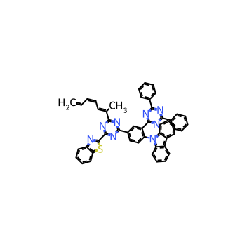 C=C/C=C\C=C(/C)c1nc(-c2ccc(-n3c4ccccc4c4ccccc43)c(-c3nc(-c4ccccc4)nc(-c4ccccc4)n3)c2)nc(-c2nc3ccccc3s2)n1